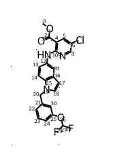 COC(=O)c1cc(Cl)cnc1Nc1ccc2c(ccn2Cc2cccc(OC(F)F)c2)c1